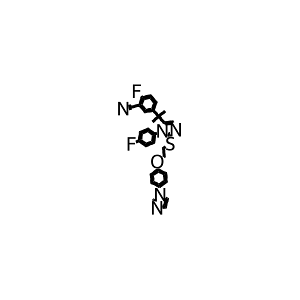 CC(C)(c1ccc(F)c(C#N)c1)c1cnc(SCCOc2ccc(-n3ccnc3)cc2)n1-c1ccc(F)cc1